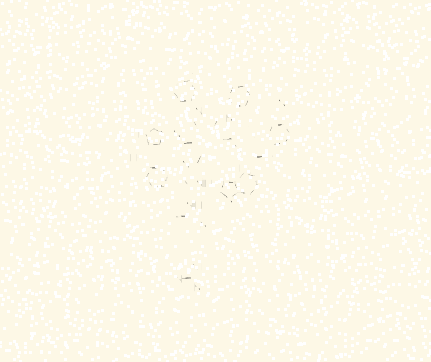 N=C(N)NCCC[C@H](N)C(=O)N[C@H](Cc1ccc(O)cc1)C(=O)N[C@@H](Cc1c[nH]c2ccccc12)C(=O)N[C@H](Cc1c[nH]cn1)C(=O)N[C@@H](Cc1ccc(O)cc1)C(=O)N[C@H](Cc1ccccc1)C(=O)N[C@@H](CCCCN)C(=O)N[C@@H](Cc1ccccc1)C(=O)O